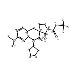 C[S+]([O-])c1ncc2c(n1)N(C1CCCC1)C(=O)[C@@]1(CCN(C(=O)OC(C)(C)C)C1=O)C2